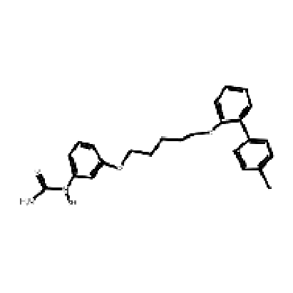 Cc1ccc(-c2ccccc2OCCCCCOc2cccc(N(S)C(N)=O)c2)cc1